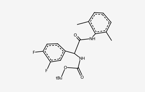 Cc1cccc(C)c1NC(=O)C(NC(=O)OC(C)(C)C)c1ccc(F)c(F)c1